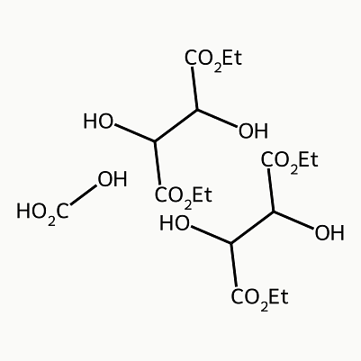 CCOC(=O)C(O)C(O)C(=O)OCC.CCOC(=O)C(O)C(O)C(=O)OCC.O=C(O)O